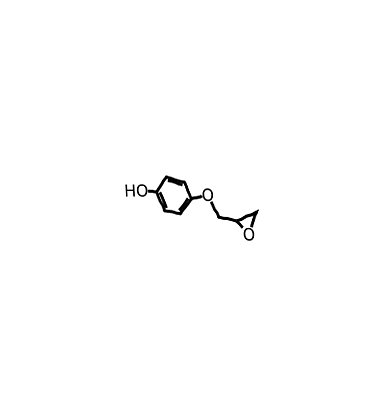 Oc1ccc(OCC2CO2)cc1